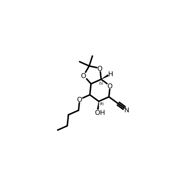 CCCCOC1C2OC(C)(C)O[C@@H]2OC(C#N)[C@H]1O